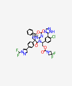 CC(C)(C)CC1(c2ccc(-c3cnn(C(F)F)c3)cc2)NC(=NC(=O)OCc2ccccc2)N(C(COC(=O)N2CC(F)(F)C2)c2ccc(Cl)c(-c3ncn[nH]3)c2)C1=O